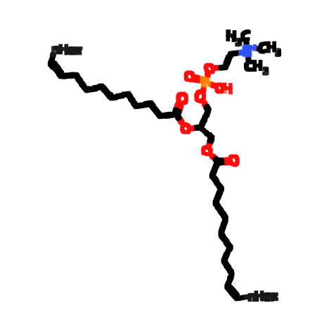 CCCCCC/C=C\CCCCCCCCC(=O)OC[C@H](COP(=O)(O)OCC[N+](C)(C)C)OC(=O)CCCCCCCC/C=C\CCCCCC